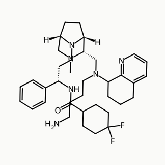 CN1C[C@@H]2CC[C@H]([C@@H]1CN(CCCCN)C1CCCc3cccnc31)N2CC[C@H](NC(=O)C1CCC(F)(F)CC1)c1ccccc1